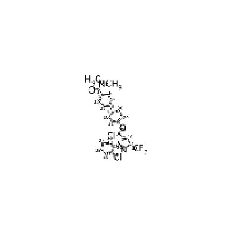 CN(C)C(=O)c1ccc(-c2ccc(OCc3cc(C(F)(F)F)nn3-c3c(Cl)cccc3Cl)cc2)cc1